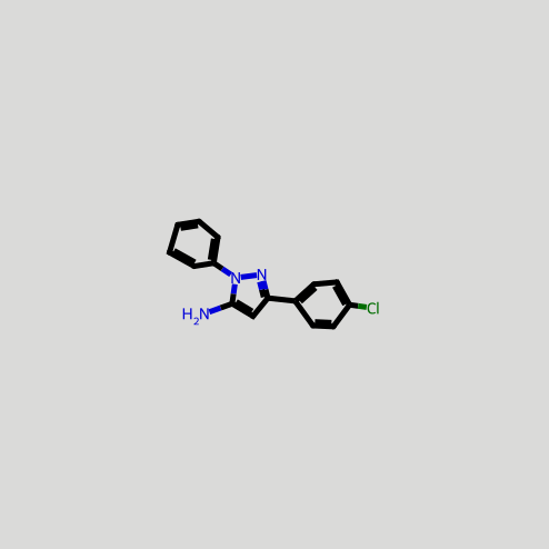 Nc1cc(-c2ccc(Cl)cc2)nn1-c1ccccc1